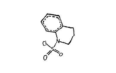 O=S(=O)(Cl)N1CCCc2ccccc21